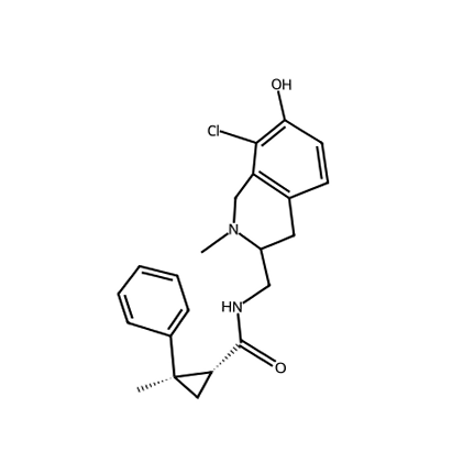 CN1Cc2c(ccc(O)c2Cl)CC1CNC(=O)[C@@H]1C[C@@]1(C)c1ccccc1